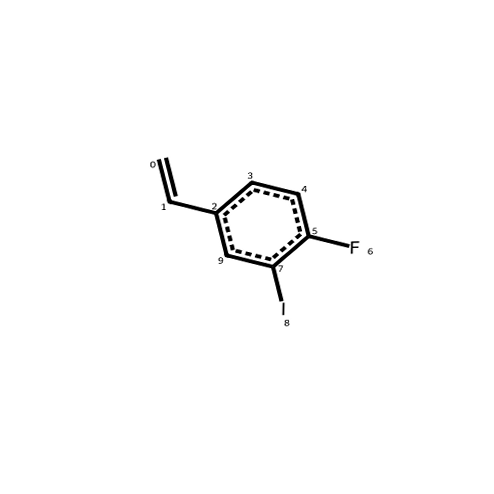 C=Cc1ccc(F)c(I)c1